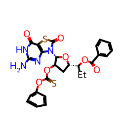 CCC(OC(=O)c1ccccc1)[C@@H]1CC(OC(=S)Oc2ccccc2)[C@H](n2c(=O)sc3c(=O)[nH]c(N)nc32)O1